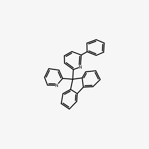 c1ccc(-c2cccc(C3(c4ccccn4)c4ccccc4-c4ccccc43)n2)cc1